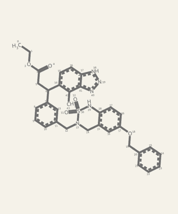 CCOC(=O)CC(c1cccc(CN2Cc3cc(OCc4ccccc4)ccc3NS2(=O)=O)c1)c1ccc2[nH]nnc2c1C